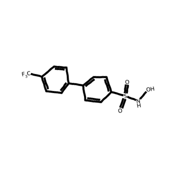 O=S(=O)(NO)c1ccc(-c2ccc(C(F)(F)F)cc2)cc1